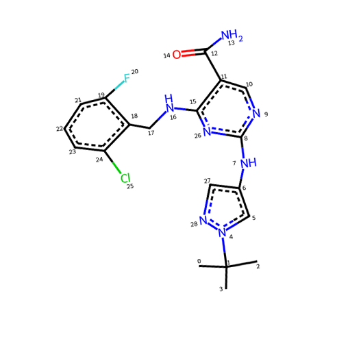 CC(C)(C)n1cc(Nc2ncc(C(N)=O)c(NCc3c(F)cccc3Cl)n2)cn1